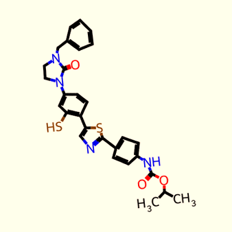 CC(C)OC(=O)Nc1ccc(-c2ncc(-c3ccc(N4CCN(Cc5ccccc5)C4=O)cc3S)s2)cc1